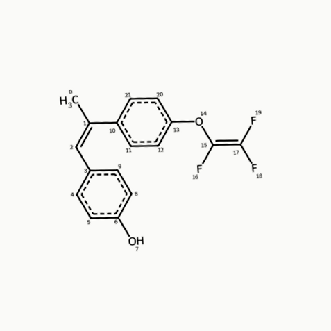 CC(=Cc1ccc(O)cc1)c1ccc(OC(F)=C(F)F)cc1